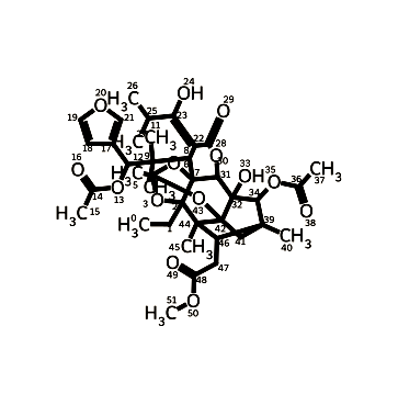 CCC12OC3(C)OC14C(C(C)(C)C(OC(C)=O)c1ccoc1)/C(=C(/O)C(C)C)C(=O)OC4C1(O)C(OC(C)=O)C4(C)CC1(O3)C2(C)C4CC(=O)OC